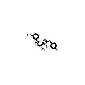 C[C@@H](NS(=O)(=O)c1cccc(C(F)(F)F)c1)c1nnc(Oc2ccc(F)cc2)n1C